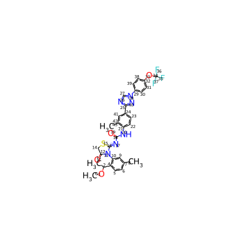 COC(C)c1ccc(C)cc1N1C(=O)CS/C1=N\C(=O)Nc1ccc(-c2ncn(-c3ccc(OC(F)(F)F)cc3)n2)cc1C